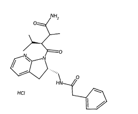 CC(C)[C@H](C(=O)N1c2ncccc2C[C@H]1CNC(=O)Cc1ccccc1)C(C)C(N)=O.Cl